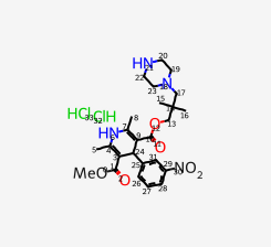 COC(=O)C1=C(C)NC(C)=C(C(=O)OCC(C)(C)CN2CCNCC2)C1c1cccc([N+](=O)[O-])c1.Cl.Cl